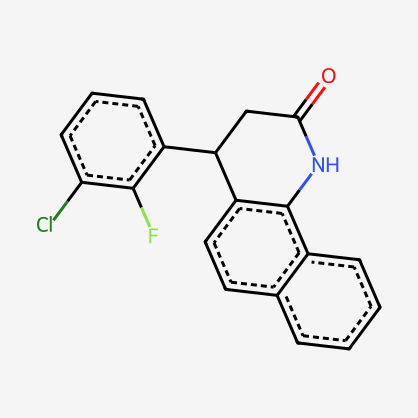 O=C1CC(c2cccc(Cl)c2F)c2ccc3ccccc3c2N1